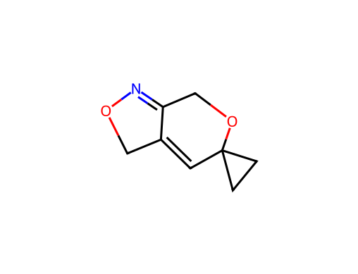 C1=C2CON=C2COC12CC2